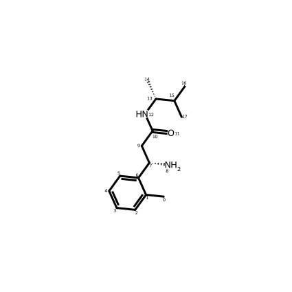 Cc1ccccc1[C@@H](N)CC(=O)N[C@H](C)C(C)C